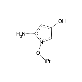 CC(C)On1cc(O)cc1N